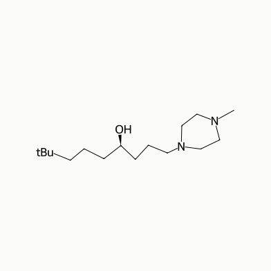 CN1CCN(CCC[C@H](O)CCCC(C)(C)C)CC1